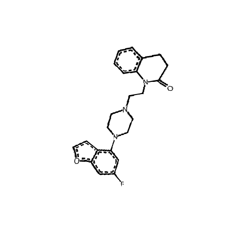 O=C1CCc2ccccc2N1CCN1CCN(c2cc(F)cc3occc23)CC1